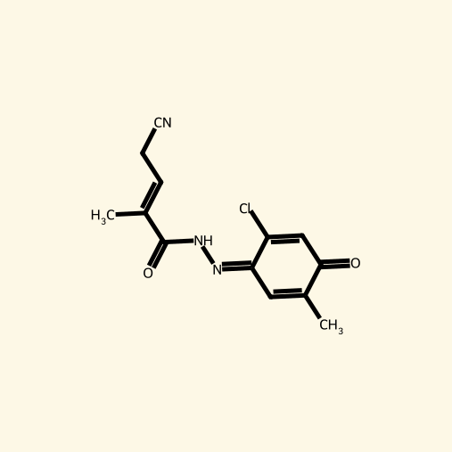 CC1=CC(=NNC(=O)C(C)=CCC#N)C(Cl)=CC1=O